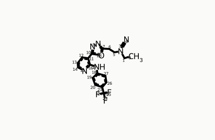 CCN(C#N)CCc1nnc(-c2cccnc2Nc2ccc(C(F)(F)F)cc2)o1